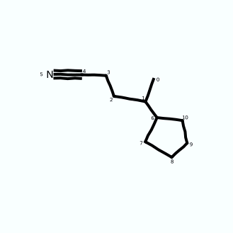 CC(CCC#N)C1CCCC1